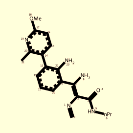 C=N/C(C(=O)NCCC)=C(/N)c1cccc(-c2ccc(OC)nc2C)c1N